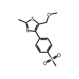 COCc1sc(C)nc1-c1ccc(S(C)(=O)=O)cc1